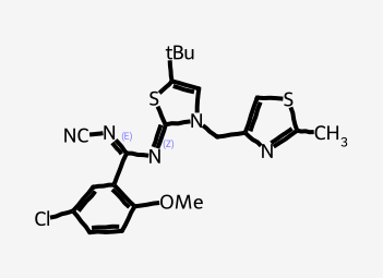 COc1ccc(Cl)cc1C(/N=c1\sc(C(C)(C)C)cn1Cc1csc(C)n1)=N\C#N